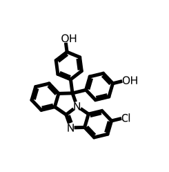 Oc1ccc(C2(c3ccc(O)cc3)c3ccccc3-c3nc4ccc(Cl)cc4n32)cc1